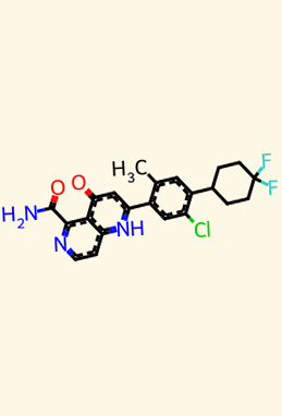 Cc1cc(C2CCC(F)(F)CC2)c(Cl)cc1-c1cc(=O)c2c(C(N)=O)nccc2[nH]1